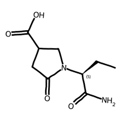 CC[C@@H](C(N)=O)N1CC(C(=O)O)CC1=O